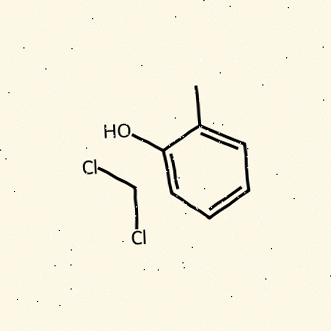 Cc1ccccc1O.ClCCl